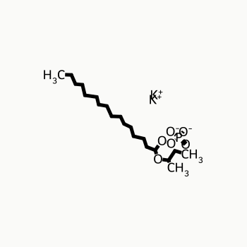 CCCCCCCCCCCCCCCC(OOP(=O)([O-])[O-])OC(C)CC.[K+].[K+]